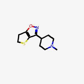 CN1CCC(c2noc3c2SCC3)CC1